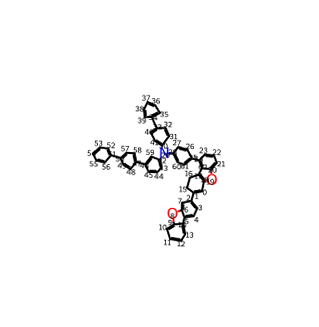 C1=C(c2ccc3c(c2)oc2ccccc23)CCc2c1oc1cccc(-c3ccc(N(c4ccc(-c5ccccc5)cc4)c4cccc(-c5ccc(-c6ccccc6)cc5)c4)cc3)c21